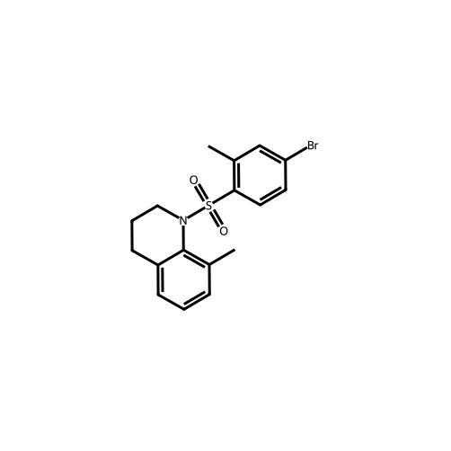 Cc1cc(Br)ccc1S(=O)(=O)N1CCCc2cccc(C)c21